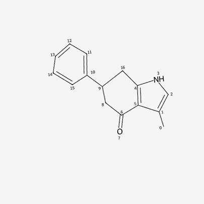 Cc1c[nH]c2c1C(=O)CC(c1ccccc1)C2